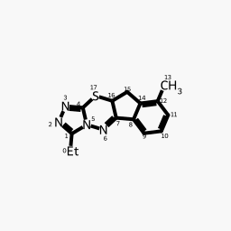 CCc1nnc2n1N=C1c3cccc(C)c3CC1S2